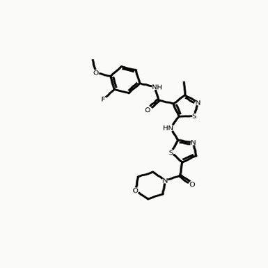 COc1ccc(NC(=O)c2c(C)nsc2Nc2ncc(C(=O)N3CCOCC3)s2)cc1F